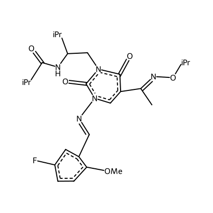 COc1ccc(F)cc1/C=N/n1cc(/C(C)=N/OC(C)C)c(=O)n(CC(NC(=O)C(C)C)C(C)C)c1=O